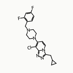 Fc1ccc(CN2CCN(c3ccn4c(CC5CC5)nnc4c3Cl)CC2)c(F)c1